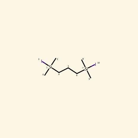 C[Si](C)(I)CCC[Si](C)(C)I